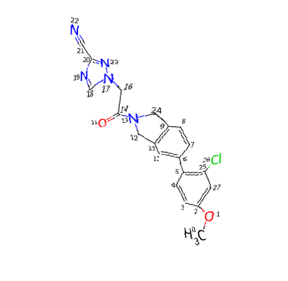 COc1ccc(-c2ccc3c(c2)CN(C(=O)Cn2cnc(C#N)n2)C3)c(Cl)c1